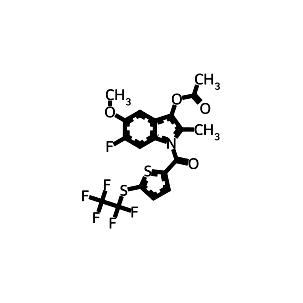 COc1cc2c(OC(C)=O)c(C)n(C(=O)c3ccc(SC(F)(F)C(F)(F)F)s3)c2cc1F